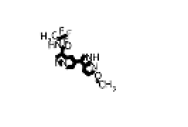 CCOc1ccc2c(-c3ccn4ncc(C(=O)N[C@H](C)C(F)(F)F)c4c3)c[nH]c2n1